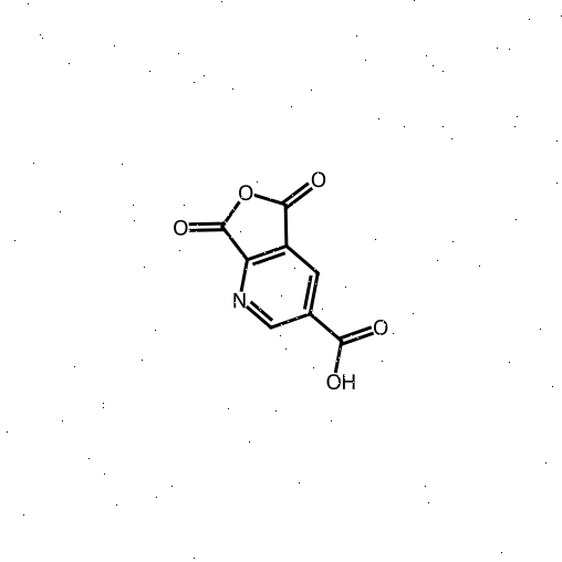 O=C(O)c1cnc2c(c1)C(=O)OC2=O